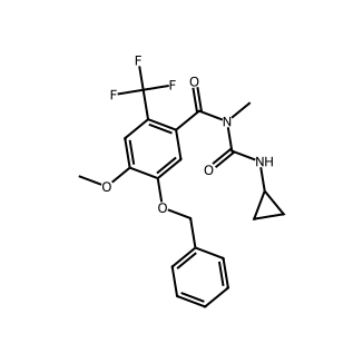 COc1cc(C(F)(F)F)c(C(=O)N(C)C(=O)NC2CC2)cc1OCc1ccccc1